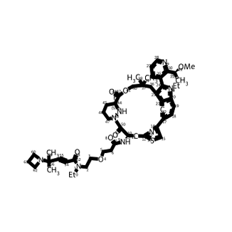 CCN(CCOCCC(=O)N[C@H]1Cc2nc(cs2)-c2ccc3c(c2)c(c(-c2cccnc2[C@H](C)OC)n3CC)CC(C)(C)COC(=O)[C@@H]2CCCN(N2)C1=O)C(=O)C#CC(C)(C)N1CCC1